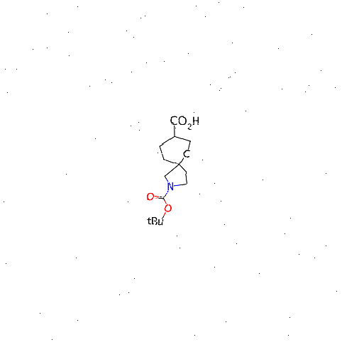 CC(C)(C)OC(=O)N1CCC2(CCC(C(=O)O)CC2)C1